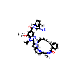 COc1cc(C(=O)N2C[C@H](N)[C@H]3CC[C@@H]2C3)cc2nc(-c3cc4ccc5nc4n3CCCCCc3ccccc3C(=O)N[C@@H]5C)n(C3CC3)c12